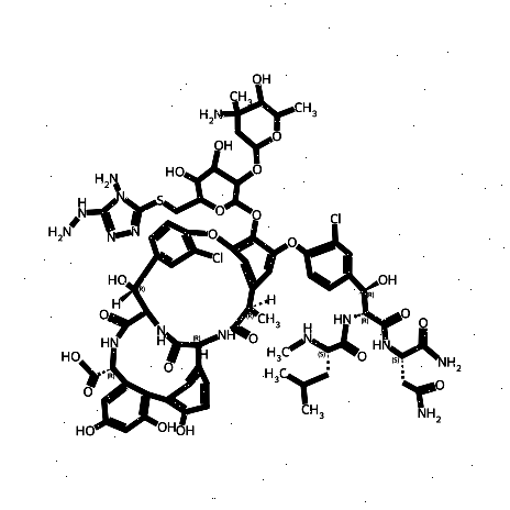 CN[C@@H](CC(C)C)C(=O)N[C@@H](C(=O)N[C@@H](CC(N)=O)C(N)=O)[C@H](O)c1ccc(Oc2cc3cc(c2OC2OC(CSc4nnc(NN)n4N)C(O)C(O)C2OC2CC(C)(N)C(O)C(C)O2)Oc2ccc(cc2Cl)[C@@H](O)C2NC(=O)[C@H](NC(=O)[C@@H]3C)c3ccc(O)c(c3)-c3c(O)cc(O)cc3[C@H](C(=O)O)NC2=O)c(Cl)c1